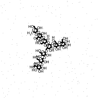 CC1OC(CO)C(O)C(OC2OC(C(=O)O)C(O)C(OC3OC(CO)C(O)C(OC4OC(COC5OC(CO)C(O)C(OC6OC(CO)C(O)C(OC7OC(C(=O)O)C(O)C(O)C7O)C6O)C5O)C(O)C(OC5OC(CO)C(O)C(OC6OC(CO)C(O)C(O)C6O)C5O)C4O)[C@@H]3O)C2O)C1O